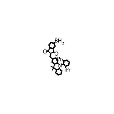 Bc1ccc2c(c1)C(=O)/C(=C\c1ccc3c(c1)C(C)(C)c1ccccc1N3c1c(C(C)C)cccc1C(C)C)C2=O